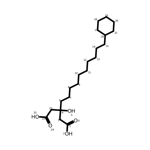 O=C(O)CC(O)(CCCCCCCCCCC1CCCCC1)CC(=O)O